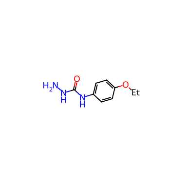 CCOc1ccc(NC(=O)NN)cc1